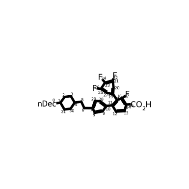 CCCCCCCCCCC1CCC(CCc2ccc(-c3ccc(C(=O)O)c(F)c3-c3cc(F)c(F)c(F)c3)cc2)CC1